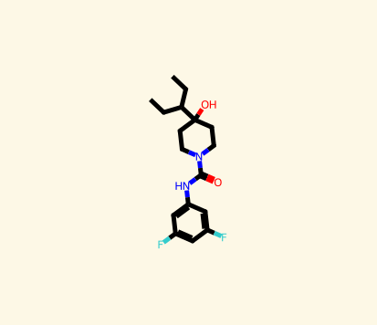 CCC(CC)C1(O)CCN(C(=O)Nc2cc(F)cc(F)c2)CC1